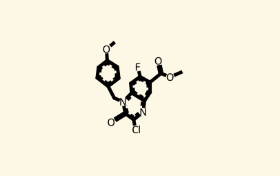 COC(=O)c1cc2nc(Cl)c(=O)n(Cc3ccc(OC)cc3)c2cc1F